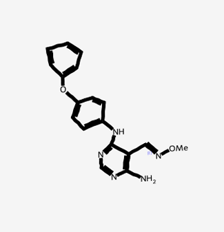 CO/N=C/c1c(N)ncnc1Nc1ccc(Oc2ccccc2)cc1